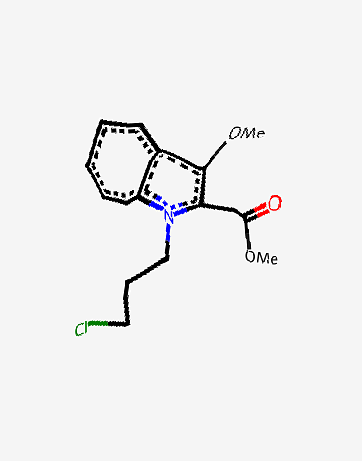 COC(=O)c1c(OC)c2ccccc2n1CCCCl